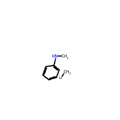 CNc1ccccc1.[Li][CH3]